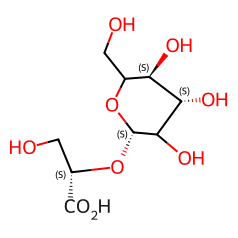 O=C(O)[C@H](CO)O[C@@H]1OC(CO)[C@@H](O)[C@H](O)C1O